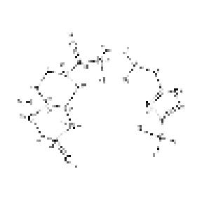 CC(C)(C)c1csc(CC2CCN(C(=O)N3CC[C@@H]4OCC(=O)NC4C3)CC2)n1